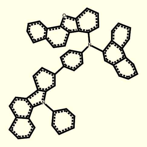 c1ccc(-n2c3cc(-c4ccc(N(c5cc6ccccc6c6ccccc56)c5cccc6oc7c8ccccc8ccc7c56)cc4)ccc3c3ccc4ccccc4c32)cc1